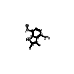 CCOc1ccc(N)c2c(C)c(C)[nH]c12